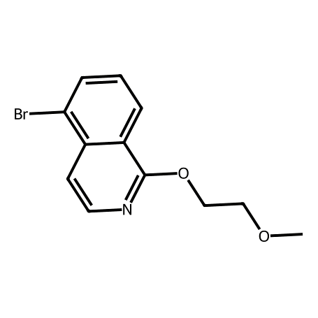 COCCOc1nccc2c(Br)cccc12